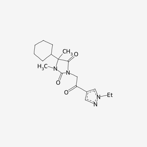 CCn1cc(C(=O)CN2C(=O)N(C)C(C)(C3CCCCC3)C2=O)cn1